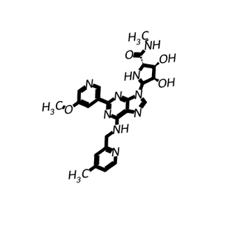 CNC(=O)[C@H]1NC(n2cnc3c(NCc4cc(C)ccn4)nc(-c4cncc(OC)c4)nc32)[C@H](O)[C@@H]1O